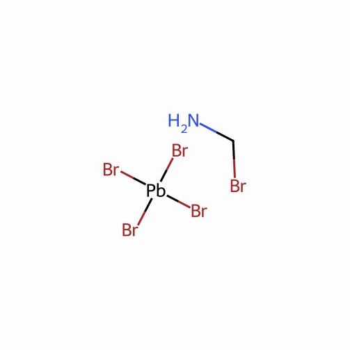 NCBr.[Br][Pb]([Br])([Br])[Br]